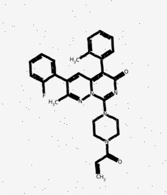 C=CC(=O)N1CCN(c2nc(=O)c(-c3ccccc3C)c3cc(-c4ccccc4F)c(C)nn23)CC1